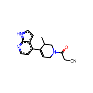 CC1CN(C(=O)CC#N)CC=C1c1ccnc2[nH]ccc12